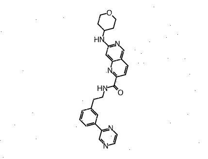 O=C(NCCc1cccc(-c2cnccn2)c1)c1ccc2cnc(NC3CCOCC3)cc2n1